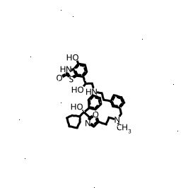 CN(CCc1cnc([C@](O)(c2ccccc2)C2CCCCC2)o1)Cc1cccc(CCNCC(O)c2ccc(O)c3[nH]c(=O)sc23)c1